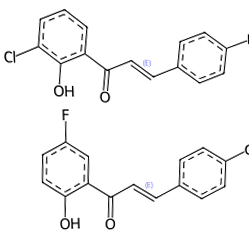 O=C(/C=C/c1ccc(Cl)cc1)c1cc(F)ccc1O.O=C(/C=C/c1ccc(F)cc1)c1cccc(Cl)c1O